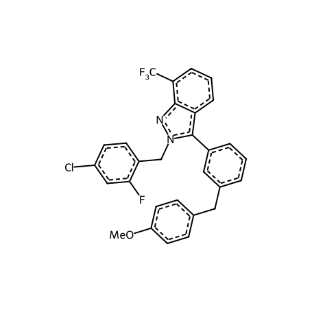 COc1ccc(Cc2cccc(-c3c4cccc(C(F)(F)F)c4nn3Cc3ccc(Cl)cc3F)c2)cc1